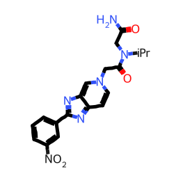 CC(C)N(CC(N)=O)C(=O)Cn1ccc2nc(-c3cccc([N+](=O)[O-])c3)nc-2c1